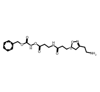 NCCC1=NO[C@H](CCC(=O)NCCC(=O)ONC(=O)OCc2ccccc2)C1